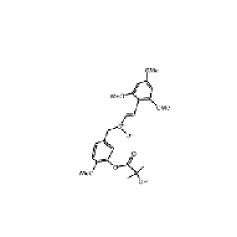 COc1cc(OC)c(C=C[S+]([O-])Cc2ccc(OC)c(OC(=O)C(C)(C)O)c2)c(OC)c1